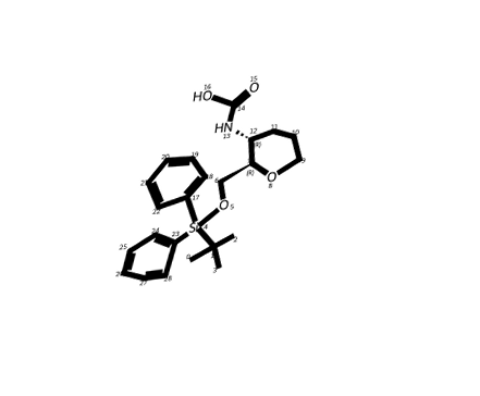 CC(C)(C)[Si](OC[C@@H]1OCCC[C@H]1NC(=O)O)(c1ccccc1)c1ccccc1